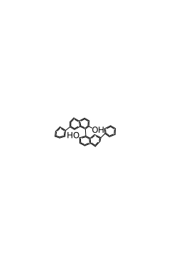 Oc1ccc2ccc(-c3ccccc3)cc2c1-c1c(O)ccc2ccc(-c3ccccc3)cc12